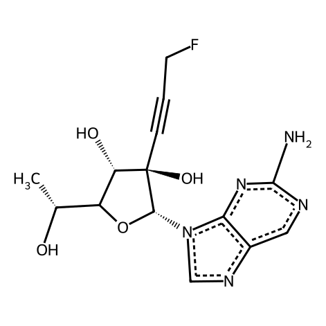 C[C@@H](O)C1O[C@@H](n2cnc3cnc(N)nc32)[C@@](O)(C#CCF)[C@H]1O